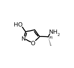 C[C@@H](N)c1cc(O)no1